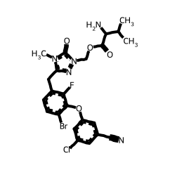 CC(C)C(N)C(=O)OCn1nc(Cc2ccc(Br)c(Oc3cc(Cl)cc(C#N)c3)c2F)n(C)c1=O